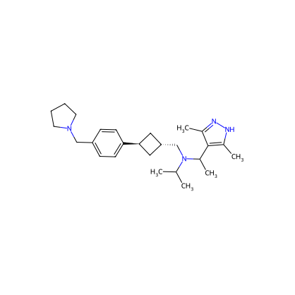 Cc1n[nH]c(C)c1C(C)N(C[C@H]1C[C@H](c2ccc(CN3CCCC3)cc2)C1)C(C)C